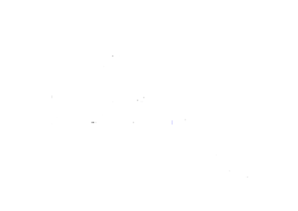 CC(C)=C/C=C/C(C)(C)C(C=C(C)C)C=C(C)C